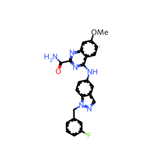 COc1[c]cc2c(Nc3ccc4c(cnn4Cc4cccc(F)c4)c3)nc(C(N)=O)nc2c1